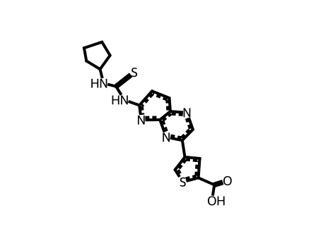 O=C(O)c1cc(-c2cnc3ccc(NC(=S)NC4CCCC4)nc3n2)cs1